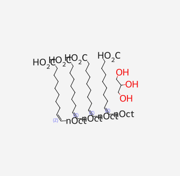 CCCCCCCC/C=C\CCCCCCCC(=O)O.CCCCCCCC/C=C\CCCCCCCC(=O)O.CCCCCCCC/C=C\CCCCCCCC(=O)O.CCCCCCCC/C=C\CCCCCCCC(=O)O.OCC(O)CO